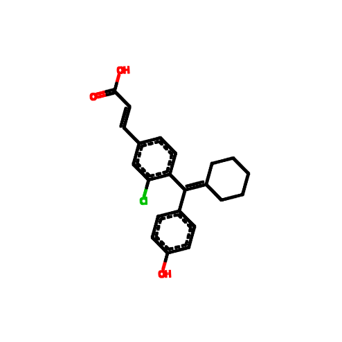 O=C(O)C=Cc1ccc(C(=C2CCCCC2)c2ccc(O)cc2)c(Cl)c1